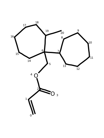 C=CC(=O)OCC1(C2CCCCCC2)CCCCCC1C